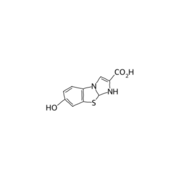 O=C(O)C1=CN2c3ccc(O)cc3SC2N1